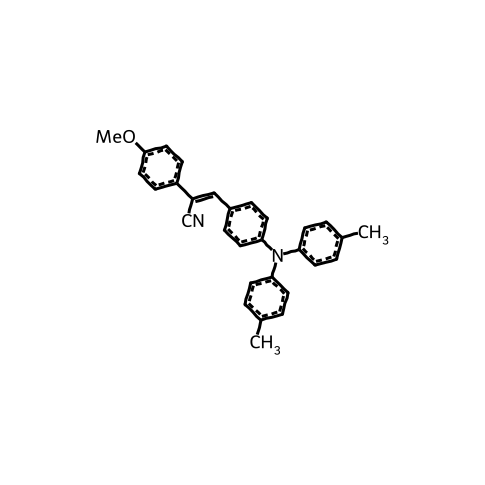 COc1ccc(/C(C#N)=C/c2ccc(N(c3ccc(C)cc3)c3ccc(C)cc3)cc2)cc1